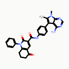 Cn1c(C(F)(F)F)c(-c2ccc(NC(=O)c3cc4c(n(-c5ccccc5)c3=O)CCCC4=O)cc2)c2c(N)ncnc21